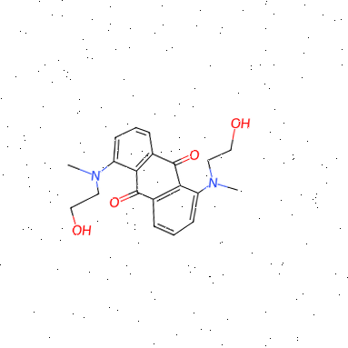 CN(CCO)c1cccc2c1C(=O)c1cccc(N(C)CCO)c1C2=O